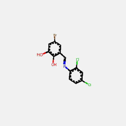 Oc1cc(Br)cc(C=Nc2ccc(Cl)cc2Cl)c1O